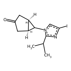 CC(C)c1nc(I)cn1C1[C@H]2CC(=O)C[C@@H]12